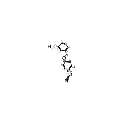 Cc1cccc(COc2ccc(SC#N)cc2)c1